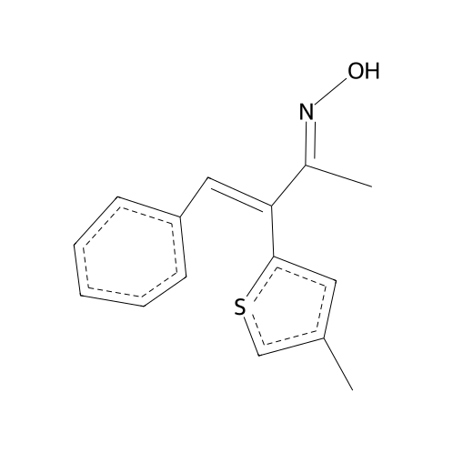 CC(=NO)C(=Cc1ccccc1)c1cc(C)cs1